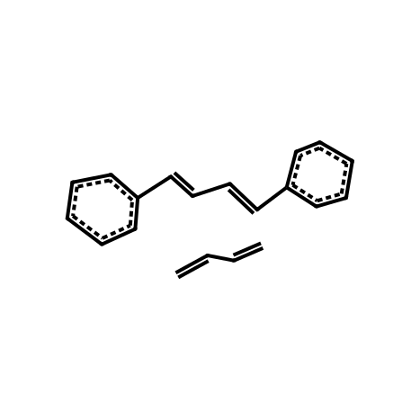 C(C=Cc1ccccc1)=Cc1ccccc1.C=CC=C